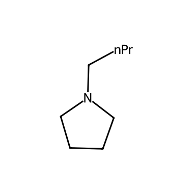 [CH]CCCN1CCCC1